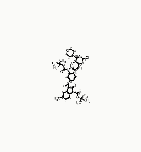 Cc1ccc2c(c1)[C@]1(C[C@H]1c1ccc3c(Nc4nc(Cl)nc(N5CCOCC5)c4C)nn(C(=O)OC(C)(C)C)c3c1)C(=O)N2C(=O)OC(C)(C)C